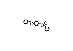 O=C(OCc1ccc(OCc2ccccc2)cc1)c1ccccc1